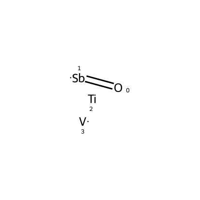 [O]=[Sb].[Ti].[V]